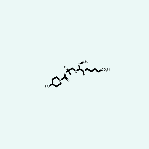 CCC(C)(COC(NCCCCC(=O)O)OC(C)(C)C)OC(=O)N1CCC(O)CC1